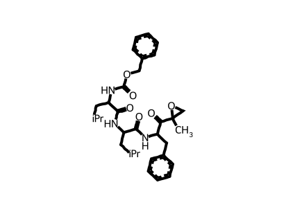 CC(C)CC(NC(=O)OCc1ccccc1)C(=O)NC(CC(C)C)C(=O)NC(Cc1ccccc1)C(=O)C1(C)CO1